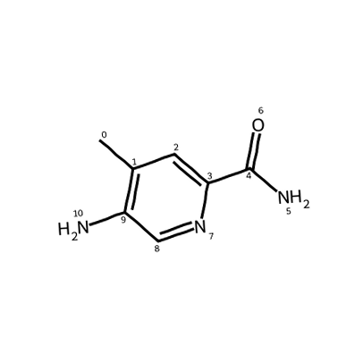 Cc1cc(C(N)=O)ncc1N